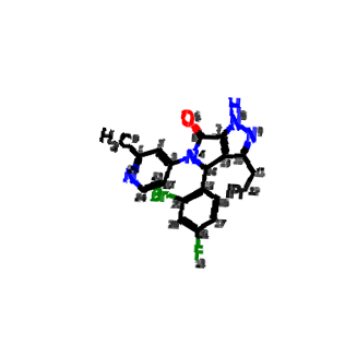 Cc1cc(N2C(=O)c3[nH]nc(CC(C)C)c3C2c2ccc(F)cc2Br)ccn1